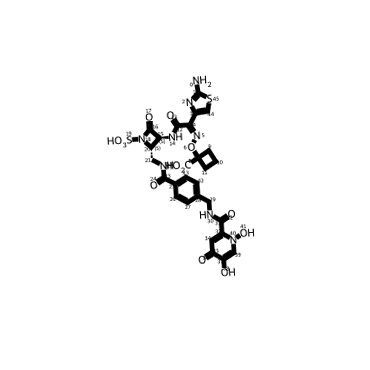 Nc1nc(C(=NOC2(C(=O)O)CCC2)C(=O)N[C@@H]2C(=O)N(S(=O)(=O)O)[C@H]2CNC(=O)c2ccc(CNC(=O)c3cc(=O)c(O)cn3O)cc2)cs1